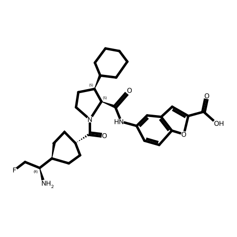 N[C@@H](CF)[C@H]1CC[C@H](C(=O)N2CC[C@@H](C3CCCCC3)[C@H]2C(=O)Nc2ccc3oc(C(=O)O)cc3c2)CC1